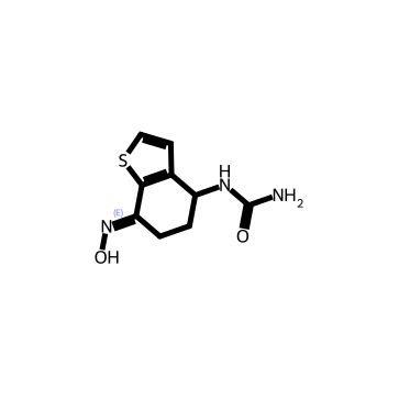 NC(=O)NC1CC/C(=N\O)c2sccc21